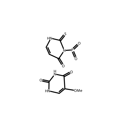 COc1c[nH]c(=O)[nH]c1=O.O=c1cc[nH]c(=S)n1P(=O)=O